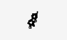 Cc1c(Cl)ccc2c1oc1cc(F)ccc12